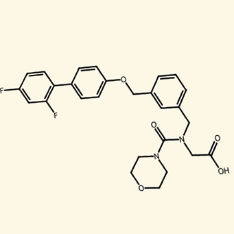 O=C(O)CN(Cc1cccc(COc2ccc(-c3ccc(F)cc3F)cc2)c1)C(=O)N1CCOCC1